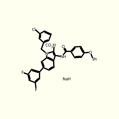 CC(C)Oc1ccc(C(=O)Nc2c(C(=O)O)n(Cc3cccc(Cl)c3)c3cc(-c4cc(F)cc(F)c4)ccc23)cc1.[NaH]